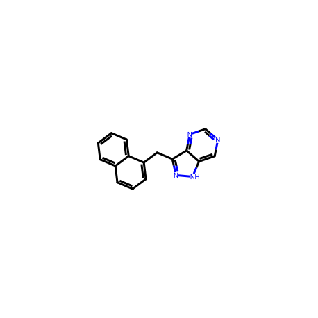 c1ccc2c(Cc3n[nH]c4cncnc34)cccc2c1